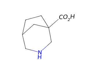 O=C(O)C12CCC(CNC1)C2